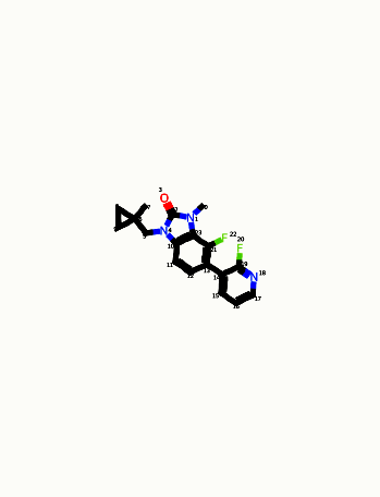 Cn1c(=O)n(CC2(C)CC2)c2ccc(-c3cccnc3F)c(F)c21